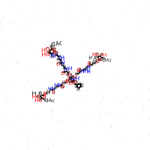 CC(=O)OCC1O[C@@H](OCCCCC(=O)NCCCNC(=O)CCOCC(COCCC(=O)NCCCNC(=O)CCCCO[C@@H]2OC(COC(C)=O)[C@H](O)C(O)[C@@H]2C)(COCCC(=O)NCCCNC(=O)CCCCO[C@@H]2OC(COC(C)=O)[C@H](O)C(O)[C@@H]2N)NC(=O)OCc2ccccc2)[C@@H](C)C(O)[C@H]1O